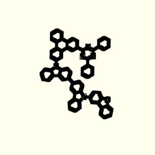 c1ccc(-c2nc(-c3ccccc3)nc(-c3ccc4c5ccccc5c5ccc(-n6c7ccccc7c7cc(-c8ccc9c(c8)c8ccccc8n9-c8ccc9oc%10ccccc%10c9c8)ccc76)cc5c4c3)n2)cc1